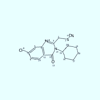 N#CSCc1nc2cc(Cl)ccc2c(=O)n1C1CCCCC1